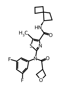 Cc1sc(N(C(=O)C2COC2)c2cc(F)cc(F)c2)nc1C(=O)N[C@@H]1CCC12CCC2